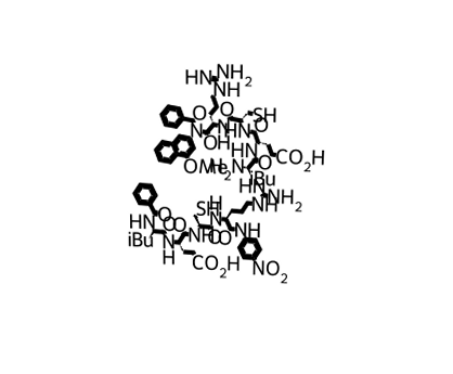 CC[C@H](C)[C@H](N)C(=O)N[C@@H](CCC(=O)O)C(=O)N[C@@H](CS)C(=O)N[C@@H](CCCNC(=N)N)C(=O)N(C(=O)c1ccccc1)c1cc(OC)c2ccccc2c1.CC[C@H](C)[C@H](NC(=O)c1ccccc1)C(=O)N[C@@H](CCC(=O)O)C(=O)N[C@@H](CS)C(=O)N[C@@H](CCCNC(=N)N)C(=O)Nc1ccc([N+](=O)[O-])cc1